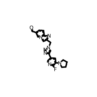 O=Cc1ccc2nc(Cn3cc(-c4cnc(F)c(N5CCCC5)c4)nn3)cn2c1